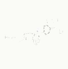 CCOc1ccc(S(=O)(=O)N2CCN(CCO)CC2)cc1C(=O)O.Cl.Cl